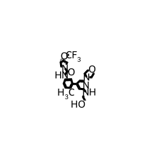 Cc1ccc(NC(=O)N2CC[C@@H](OC(F)(F)F)C2)cc1-c1cc(NCCO)nc(N2CCOCC2)c1